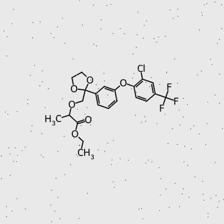 CCOC(=O)C(C)OCC1(c2cccc(Oc3ccc(C(F)(F)F)cc3Cl)c2)OCCO1